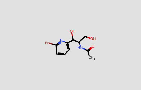 CC(=O)NC(CO)C(O)c1cccc(Br)n1